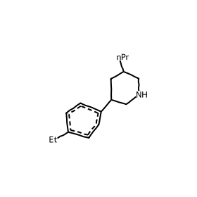 CCCC1CNCC(c2ccc(CC)cc2)C1